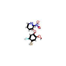 COc1cc(Br)c(F)cc1Oc1cccnc1[N+](=O)[O-]